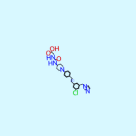 O=C(O)CNC(=O)NC1CCN(c2ccc(/C=C/c3cc(Cl)cc(Cn4ccnc4)c3)cc2)CC1